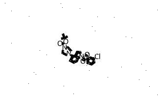 CC(C)(C)OC(=O)N1CCCN(c2cccc3c2ccn3S(=O)(=O)c2cccc(Cl)c2)CC1